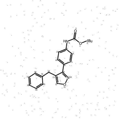 CC(C)(C)OC(=O)Nc1ccc(-c2nocc2Cc2ccccc2)cc1